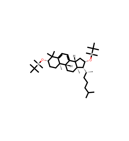 CC(C)CCC[C@@H](C)[C@H]1[C@@H](O[Si](C)(C)C(C)(C)C)C[C@H]2C3=CC=C4C(C)(C)[C@@H](O[Si](C)(C)C(C)(C)C)CC[C@]4(C)[C@H]3CC[C@]12C